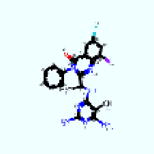 CC(Nc1nc(N)nc(N)c1C#N)c1nc2c(I)cc(F)cc2c(=O)n1-c1ccccc1